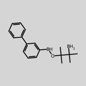 BC(C)(C)C(C)(C)OBc1cccc(-c2ccccc2)c1